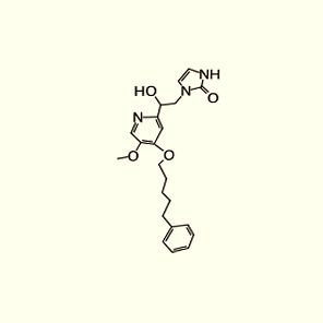 COc1cnc(C(O)Cn2cc[nH]c2=O)cc1OCCCCCc1ccccc1